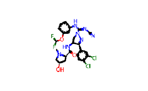 CN1C[C@H](O)C[C@@H]1C(=O)NC1CN(C(=NC#N)Nc2cccc(OC(F)F)c2)N=C1c1ccc(Cl)c(Cl)c1